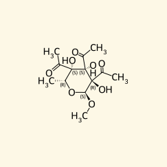 CO[C@H]1O[C@H](C)[C@@](O)(C(C)=O)[C@@](O)(C(C)=O)[C@]1(O)C(C)=O